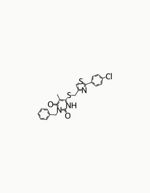 Cc1c(SCc2csc(-c3ccc(Cl)cc3)n2)[nH]c(=O)n(Cc2ccccc2)c1=O